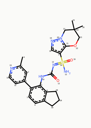 Cc1cc(-c2ccc3c(c2NC(=O)N=S(N)(=O)c2cnn4c2OCC(C)(C)C4)CCC3)ccn1